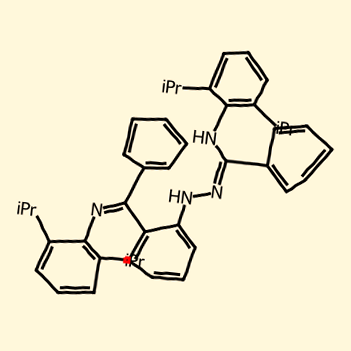 CC(C)c1cccc(C(C)C)c1N=C(c1ccccc1)c1ccccc1NN=C(Nc1c(C(C)C)cccc1C(C)C)c1ccccc1